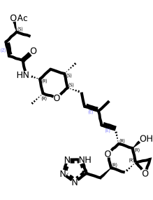 CC(=O)O[C@@H](C)/C=C\C(=O)N[C@@H]1C[C@H](C)[C@H](C/C=C(C)/C=C/[C@H]2O[C@H](Cc3nnn[nH]3)C[C@@]3(CO3)[C@@H]2O)O[C@@H]1C